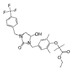 CCOC(=O)C(C)(C)Oc1c(C)cc(CN2C(=O)N(Cc3ccc(C(F)(F)F)cc3)CC2O)cc1C